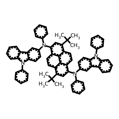 CC(C)(C)c1cc(N(c2ccccc2)c2ccc3c(c2)c2ccccc2n3-c2ccccc2)c2ccc3c(C(C)(C)C)cc(N(c4ccccc4)c4ccc5c(c4)c4ccccc4n5-c4ccccc4)c4ccc1c2c43